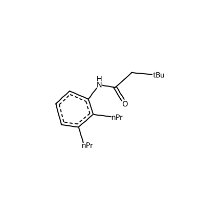 CCCc1cccc(NC(=O)CC(C)(C)C)c1CCC